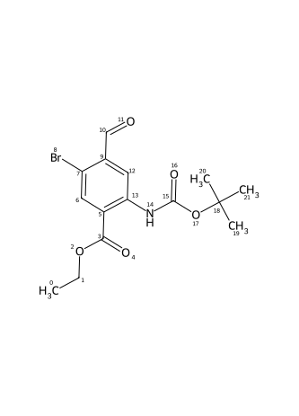 CCOC(=O)c1cc(Br)c(C=O)cc1NC(=O)OC(C)(C)C